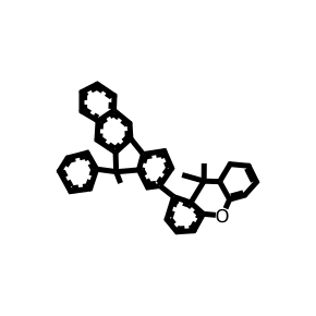 CC1(c2ccccc2)c2cc(-c3cccc4c3C(C)(C)C3CC=CC=C3O4)ccc2-c2cc3ccccc3cc21